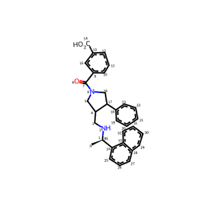 C[C@@H](NCC1CN(C(=O)c2cccc(C(=O)O)c2)CC1c1ccccc1)c1cccc2ccccc12